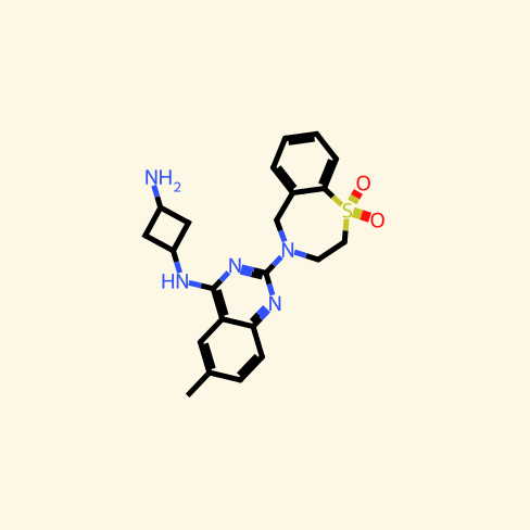 Cc1ccc2nc(N3CCS(=O)(=O)c4ccccc4C3)nc(NC3CC(N)C3)c2c1